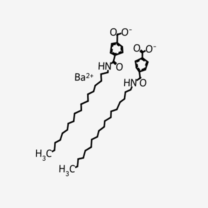 CCCCCCCCCCCCCCCCCCNC(=O)c1ccc(C(=O)[O-])cc1.CCCCCCCCCCCCCCCCCCNC(=O)c1ccc(C(=O)[O-])cc1.[Ba+2]